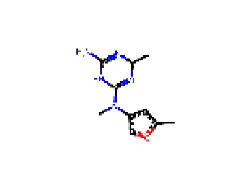 Cc1cc(N(C)C2=NC(C)N=C(N)N2)co1